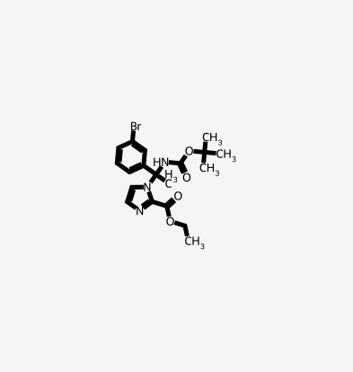 CCOC(=O)c1nccn1C(C)(NC(=O)OC(C)(C)C)c1cccc(Br)c1